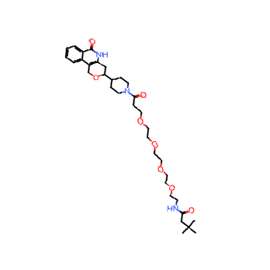 CC(C)(C)CC(=O)NCCOCCOCCOCCOCCC(=O)N1CCC(C2Cc3[nH]c(=O)c4ccccc4c3CO2)CC1